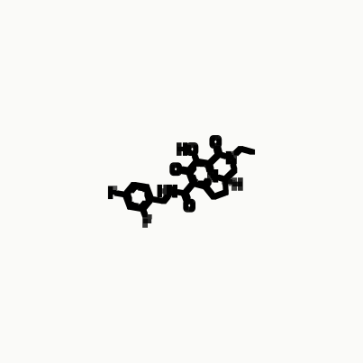 CCN1C[C@H]2CCc3c(C(=O)NCc4ccc(F)cc4F)c(=O)c(O)c(n32)C1=O